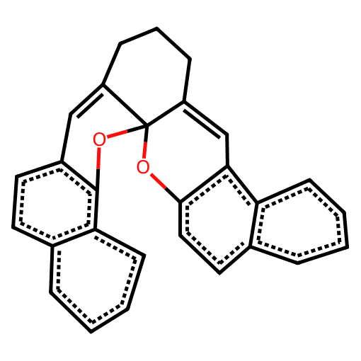 C1=C2CCCC3=Cc4c(ccc5ccccc45)OC23Oc2c1ccc1ccccc21